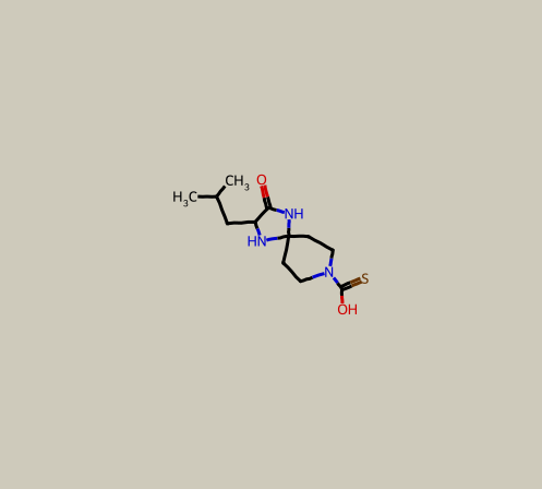 CC(C)CC1NC2(CCN(C(O)=S)CC2)NC1=O